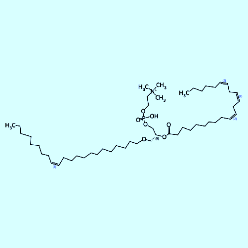 CCCCC/C=C\C/C=C\C/C=C\CCCCCCCCC(=O)O[C@H](COCCCCCCCCCCCC/C=C\CCCCCCCC)COP(=O)(O)OCC[N+](C)(C)C